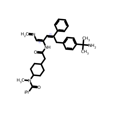 C=N/C=C(\C=C(/Cc1ccc(C(C)(C)N)cc1)c1ccccc1)NC(=O)CC1CCC(N(C)C(=O)C(C)C)CC1